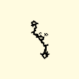 CC(C=CC1=C(C)CCCC1(C)C)=CC=CC1=CC=C(C=O)C(C)(C=CC(C)=CC=CC2=C(C)CCCC2(C)C)C1